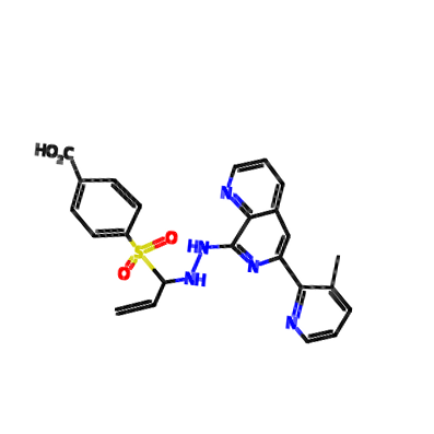 C=CC(NNc1nc(-c2ncccc2C)cc2cccnc12)S(=O)(=O)c1ccc(C(=O)O)cc1